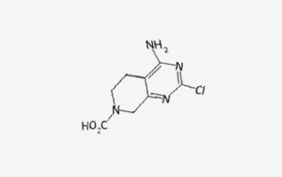 Nc1nc(Cl)nc2c1CCN(C(=O)O)C2